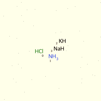 Cl.N.[KH].[NaH]